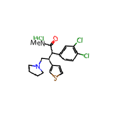 CNC(=O)C(c1ccc(Cl)c(Cl)c1)C(CN1CCCC1)c1ccsc1.Cl